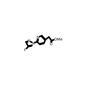 COC(=O)Cc1ccc(-n2cc(F)cn2)nc1